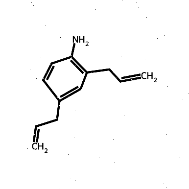 C=CCc1ccc(N)c(CC=C)c1